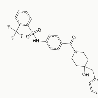 O=C(c1ccc(NS(=O)(=O)c2ccccc2C(F)(F)F)cc1)N1CCC(O)(Cc2ccccc2)CC1